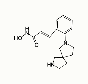 O=C(C=Cc1ccccc1N1CCC2(CCNC2)C1)NO